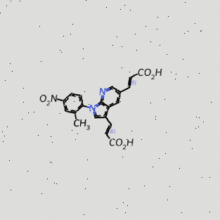 Cc1cc([N+](=O)[O-])ccc1-n1cc(/C=C/C(=O)O)c2cc(/C=C/C(=O)O)cnc21